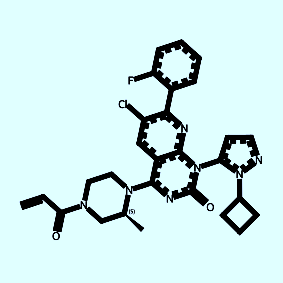 C=CC(=O)N1CCN(c2nc(=O)n(-c3ccnn3C3CCC3)c3nc(-c4ccccc4F)c(Cl)cc23)[C@@H](C)C1